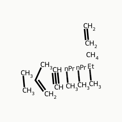 C.C#C.C=C.C=CC.CC.CCC.CCCC.CCCC